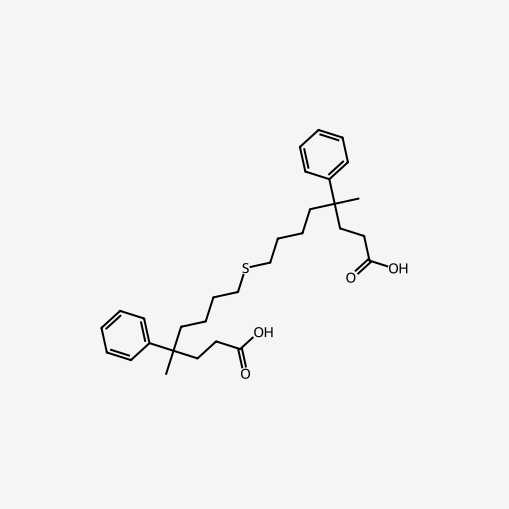 CC(CCCCSCCCCC(C)(CCC(=O)O)c1ccccc1)(CCC(=O)O)c1ccccc1